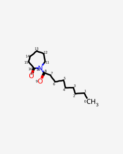 CCCCCCCCC(=O)N1CCCCCC1=O